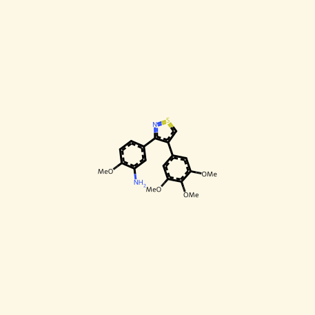 COc1ccc(-c2nscc2-c2cc(OC)c(OC)c(OC)c2)cc1N